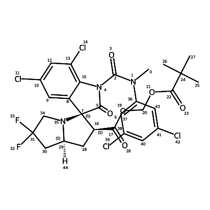 CN(C(=O)N1C(=O)[C@@]2(c3cc(Cl)cc(Cl)c31)[C@@H](C(=O)OCOC(=O)C(C)(C)C)C[C@H]1CC(F)(F)CN12)c1cc(Cl)cc(Cl)c1